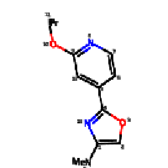 CNc1coc(-c2ccnc(OC(C)C)c2)n1